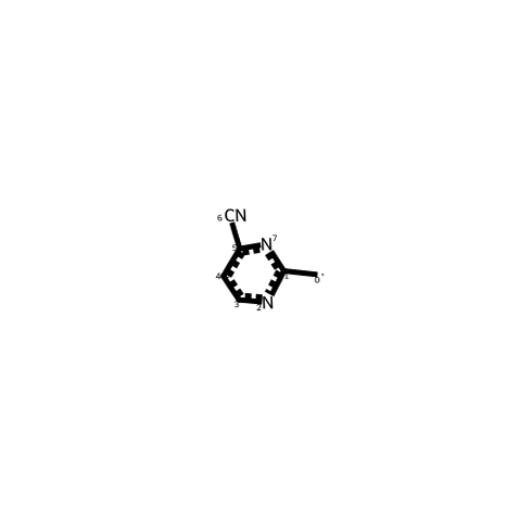 [CH2]c1nccc(C#N)n1